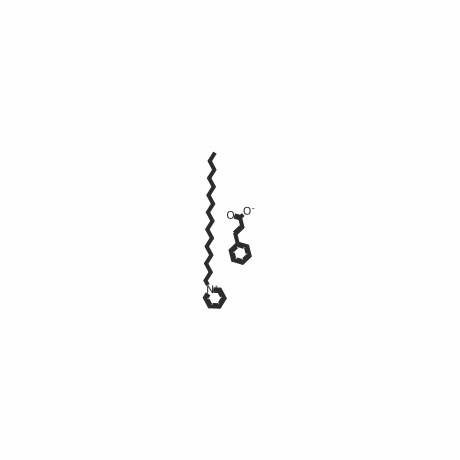 CCCCCCCCCCCCCCCC[n+]1ccccc1.O=C([O-])C=Cc1ccccc1